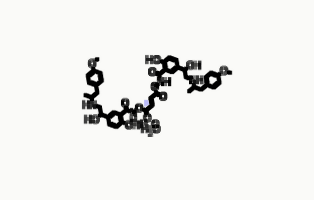 COc1ccc(CC(C)NCC(O)c2ccc(O)c(C(=O)NOC(=O)/C=C/C(=O)ONC(=O)c3cc(C(O)CNC(C)Cc4ccc(OC)cc4)ccc3O)c2)cc1.O.O